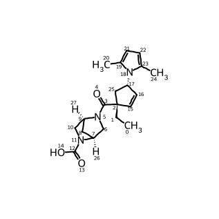 CC[C@]1(C(=O)N2C[C@@H]3C[C@H]2CN3C(=O)O)C=C[C@@H](n2c(C)ccc2C)C1